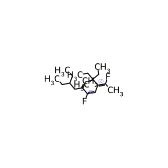 C=C(CC(CC)CC)/C(F)=C\C(=C(/C)F)C(C)(CC)CC